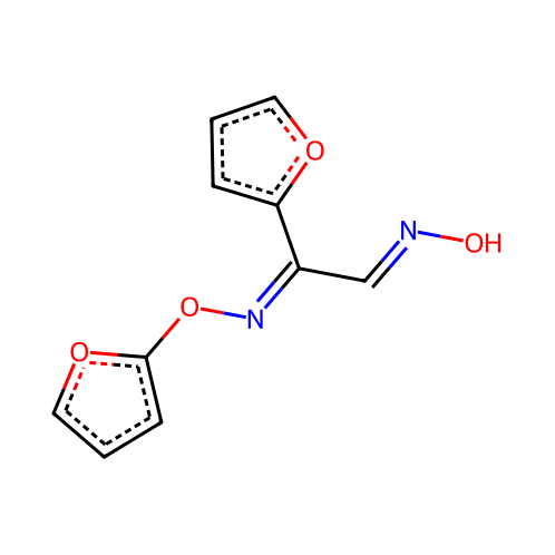 ON=CC(=NOc1ccco1)c1ccco1